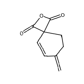 C=C1C=CC2(CC1)C(=O)OC2=O